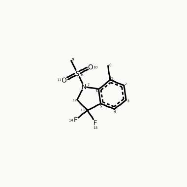 Cc1cccc2c1N(S(C)(=O)=O)CC2(F)F